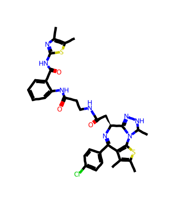 Cc1nc(NC(=O)c2ccccc2NC(=O)CCNC(=O)C[C@@H]2N=C(c3ccc(Cl)cc3)c3c(sc(C)c3C)N3C2=NNC3C)sc1C